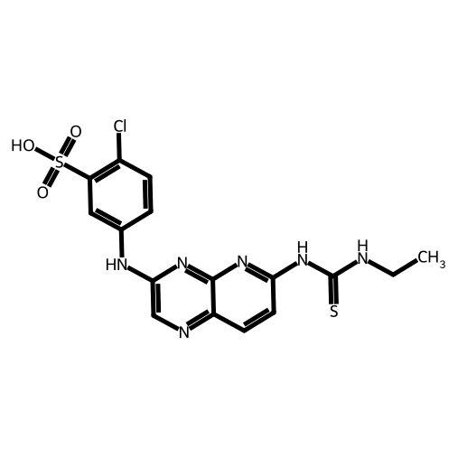 CCNC(=S)Nc1ccc2ncc(Nc3ccc(Cl)c(S(=O)(=O)O)c3)nc2n1